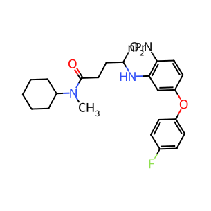 CCCC(CCC(=O)N(C)C1CCCCC1)Nc1cc(Oc2ccc(F)cc2)ccc1[N+](=O)[O-]